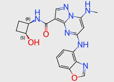 CNc1cc(Nc2cccc3ocnc23)nc2c(C(=O)N[C@@H]3CC[C@@H]3O)cnn12